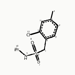 Cc1ccc(CS(=O)(=O)NC(C)C)c(Cl)c1